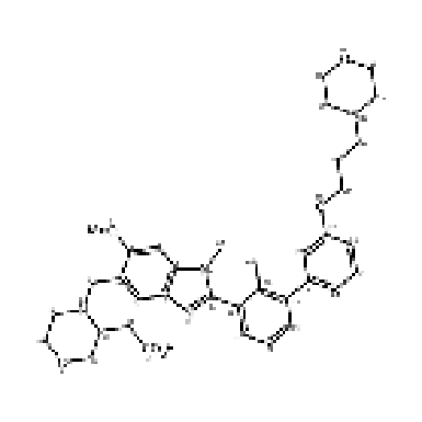 COc1cc2c(cc1CN1CCOCC1CC(=O)O)nc(-c1cccc(-c3cccc(OCCCN4CCOCC4)c3)c1C)n2C